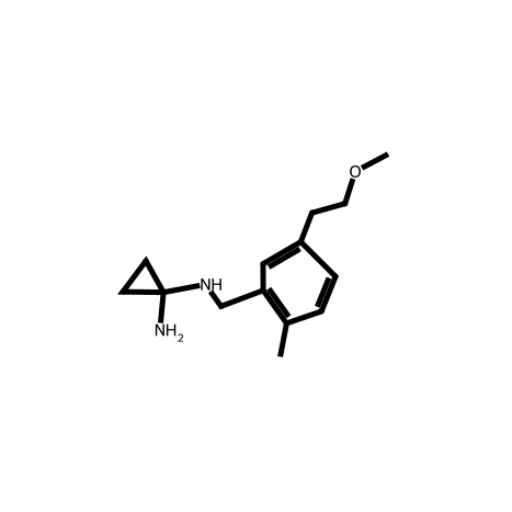 COCCc1ccc(C)c(CNC2(N)CC2)c1